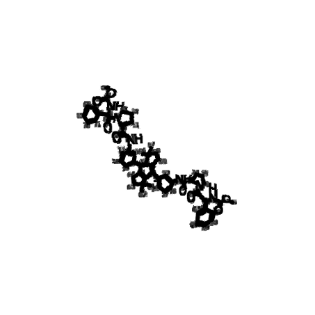 COC(=O)N[C@@H](C(=O)N1CCC[C@H]1C(=O)Nc1cccc(-c2c3c(c(-c4cccc(NC(=O)[C@@H]5CCCN5C(=O)[C@H](NC(=O)OC)c5ccccc5)c4)c4c2C(C)(C)CC4)C(C)(C)CC3)c1)c1ccccc1